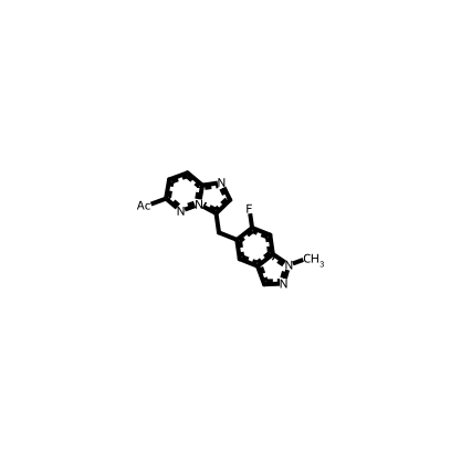 CC(=O)c1ccc2ncc(Cc3cc4cnn(C)c4cc3F)n2n1